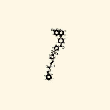 O=C(NCCn1cnc(S(=O)(=O)N2CC[C@H](C(=O)N3CCN(c4ccnc5cc(F)ccc45)CC3)C2)n1)OCc1ccccc1